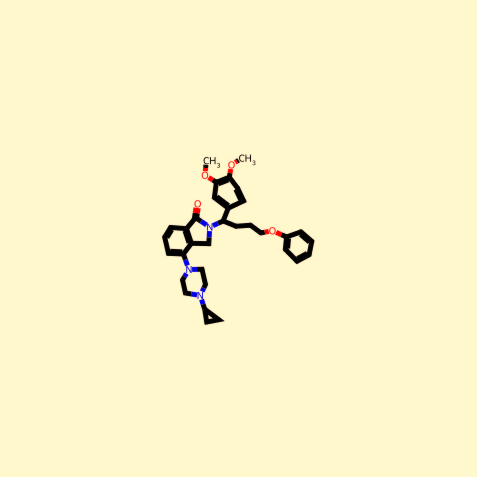 COc1ccc(C(CCCOc2ccccc2)N2Cc3c(cccc3N3CCN(C4CC4)CC3)C2=O)cc1OC